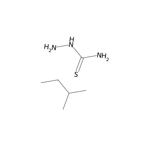 CCC(C)C.NNC(N)=S